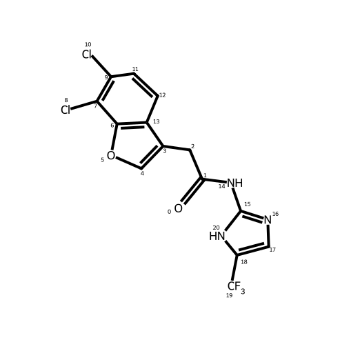 O=C(Cc1coc2c(Cl)c(Cl)ccc12)Nc1ncc(C(F)(F)F)[nH]1